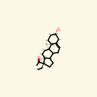 CC[C@]1(C(C)=O)CCC2C3CC=C4C[C@@H](O)CC[C@]4(C)C3CC[C@@]21C